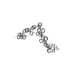 O=[Si]([O-])[O-].O=[Si]([O-])[O-].O=[Si]([O-])[O-].O=[Si]([O-])[O-].O=[Si]([O-])[O-].[Gd+3].[Gd+3].[Sr+2].[Sr+2]